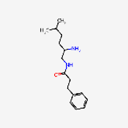 CC(C)CCC(N)CNC(=O)CCc1ccccc1